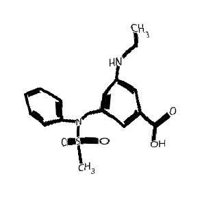 CCNc1cc(C(=O)O)cc(N(c2ccccc2)S(C)(=O)=O)c1